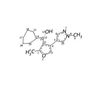 Cc1occ(-c2cnn(C)c2)c1[C@@H](O)C1CCCCC1